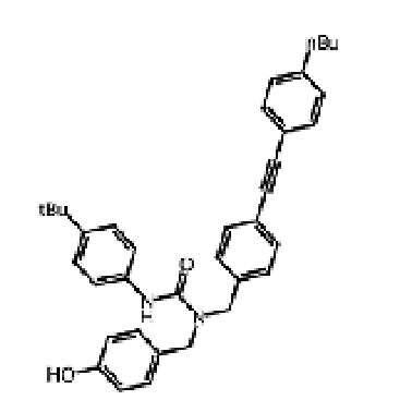 CCCCc1ccc(C#Cc2ccc(CN(Cc3ccc(O)cc3)C(=O)Nc3ccc(C(C)(C)C)cc3)cc2)cc1